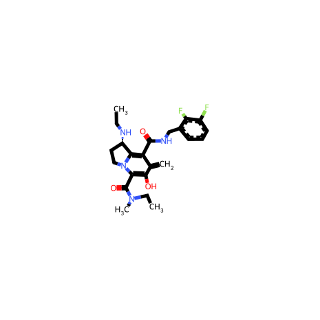 C=C1C(O)=C(C(=O)N(C)CC)N2CC[C@H](NCC)C2=C1C(=O)NCc1cccc(F)c1F